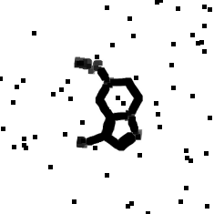 O=C(O)N1CCn2ncc(Br)c2C1